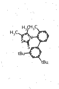 Cc1cccc(-c2cc(C(C)(C)C)cc(C(C)(C)C)c2)c1-n1c(C)c(C)sc1=S